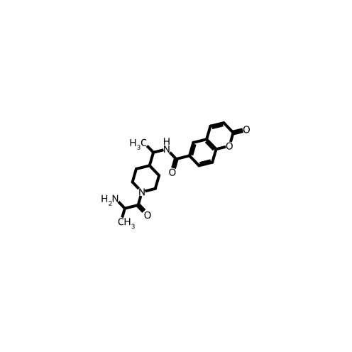 CC(N)C(=O)N1CCC(C(C)NC(=O)c2ccc3oc(=O)ccc3c2)CC1